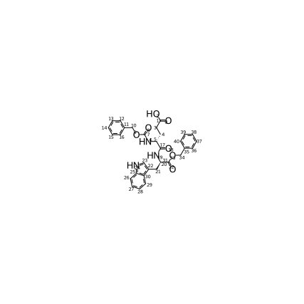 O=C(O)CC[C@@H](NC(=O)OCc1ccccc1)C(=O)N[C@H](Cc1c[nH]c2ccccc12)C(=O)OCc1ccccc1